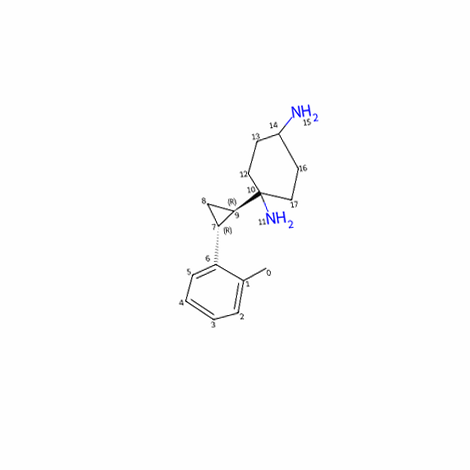 Cc1ccccc1[C@@H]1C[C@H]1C1(N)CCC(N)CC1